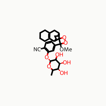 COC1(c2ccc(C#N)c(O[C@@H]3OC(C)[C@H](O)[C@H](O)C3O)c2)OOC12C1CCCC2C2=C(CCCC2)C1